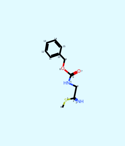 CSC(=N)CNC(=O)OCc1ccccc1